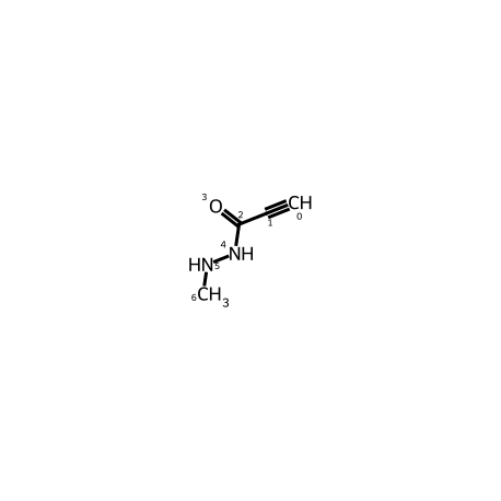 C#CC(=O)NNC